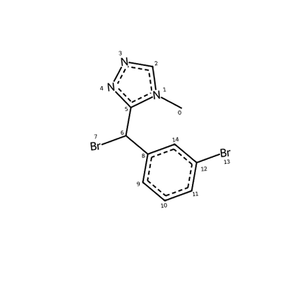 Cn1cnnc1C(Br)c1cccc(Br)c1